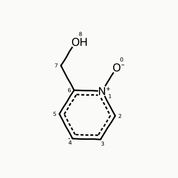 [O-][n+]1cc[c]cc1CO